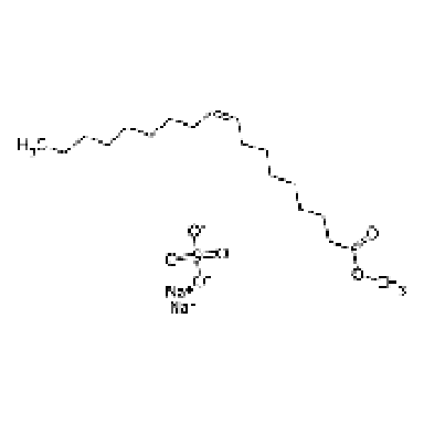 CCCCCCCC/C=C\CCCCCCCC(=O)OC.O=S(=O)([O-])[O-].[Na+].[Na+]